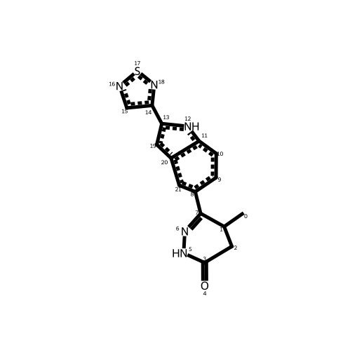 CC1CC(=O)NN=C1c1ccc2[nH]c(-c3cnsn3)cc2c1